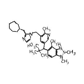 Cc1ncc(C(c2ccc3c(c2C)NN(C)N3C)C(C)(C)C(=O)O)cc1Cn1ccnc1CC1CCCCCC1